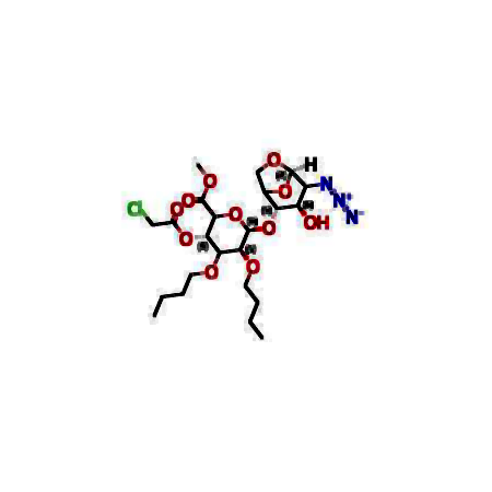 CCCCOC1[C@H](OC(=O)CCl)C(C(=O)OC)O[C@@H](O[C@@H]2C3CO[C@H](O3)C(N=[N+]=[N-])[C@H]2O)[C@H]1OCCCC